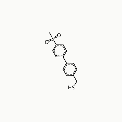 CS(=O)(=O)c1ccc(-c2ccc(CS)cc2)cc1